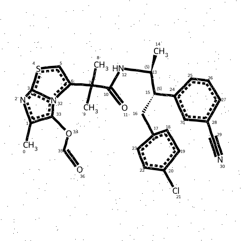 Cc1nc2scc(C(C)(C)C(=O)N[C@@H](C)[C@@H](Cc3ccc(Cl)cc3)c3cccc(C#N)c3)n2c1OC=O